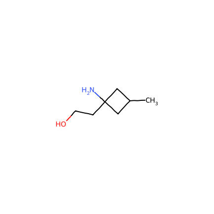 CC1CC(N)(CCO)C1